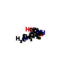 CN(C)CCCc1ccc(-c2c(O)ccc3[nH]c(=O)c4sccc4c23)cc1